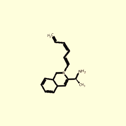 C=C/C=C\C=C\N1CC2C=CC=CC2C=C1[C@H](C)N